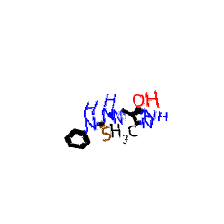 Cc1n[nH]c(O)c1/C=N/NC(=S)Nc1ccccc1